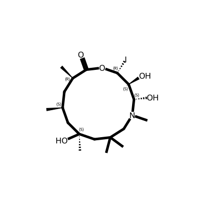 C[C@H]1C[C@@H](C)C(=O)O[C@H](I)[C@@H](O)[C@H](O)N(C)CC(C)(C)C[C@@](C)(O)C1